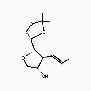 CC=C[C@@H]1[C@@H]([C@@H]2COC(C)(C)O2)OC[C@H]1O